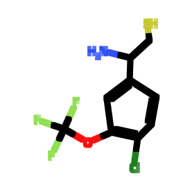 NC(CS)c1ccc(Cl)c(OC(F)(F)F)c1